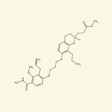 C=CCc1c(OCCCOc2ccc3c(c2CCC)OC(I)(CCC(=O)OC)CC3)ccc(C(=O)NC)c1OC